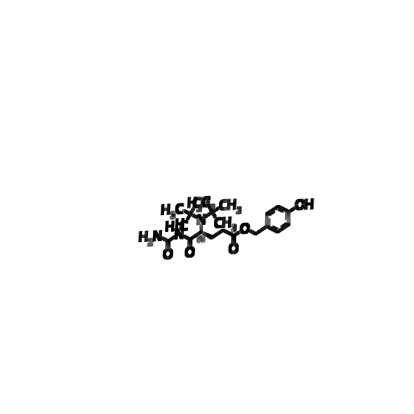 CC(C)(C)N([C@@H](CCC(=O)OCc1ccc(O)cc1)C(=O)NC(N)=O)C(C)(C)C